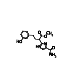 COC(=O)C(CCc1cccc(O)c1)c1nc(C(N)=O)c[nH]1